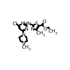 CCOC(=O)c1sc(Nc2nc(Cl)cc(N3CCN(C)CC3)n2)nc1C